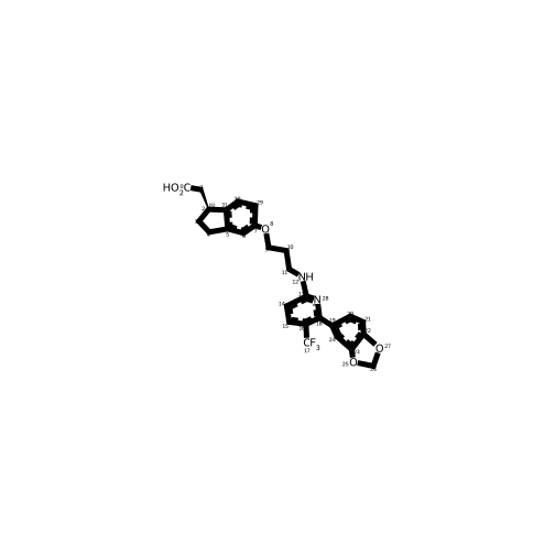 O=C(O)C[C@@H]1CCc2cc(OCCCNc3ccc(C(F)(F)F)c(-c4ccc5c(c4)OCO5)n3)ccc21